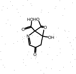 CC1(O)CC(=O)C=NC1(C(=O)O)C(=O)O